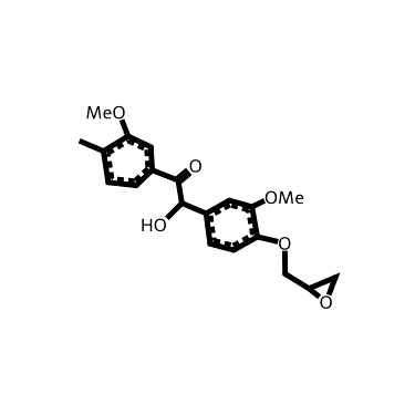 COc1cc(C(=O)C(O)c2ccc(OCC3CO3)c(OC)c2)ccc1C